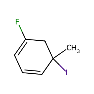 CC1(I)C=CC=C(F)C1